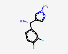 Cn1cc([C@@H](N)c2ccc(Cl)c(F)c2)cn1